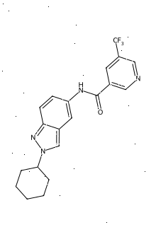 O=C(Nc1ccc2nn(C3CCCCC3)cc2c1)c1cncc(C(F)(F)F)c1